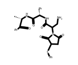 CC(C)SC1CC(=O)N(C(CN)C(=O)N[C@H](C(=O)N[C@@H](C)C(=O)C(C)C)C(C)C)C1=O